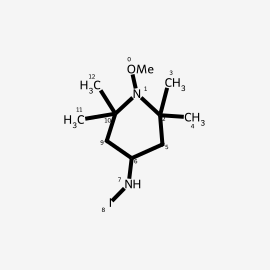 CON1C(C)(C)CC(NI)CC1(C)C